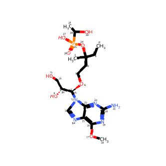 CCC(C)(CCO[C@H]([C@H](O)CO)n1cnc2c(OC)nc(N)nc21)OP(=O)(O)C(C)O